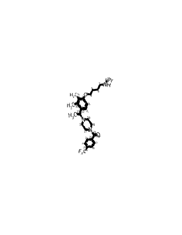 Cc1c(OCCCCNC(C)C)ccc(C(C)N2CCN(C(=O)c3ccc(C(F)(F)F)cc3)CC2)c1C